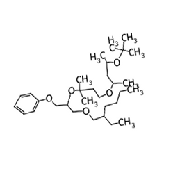 CCCCC(CC)COCC(COc1ccccc1)OC(C)(C)CCOC(C)CC(C)OC(C)(C)C